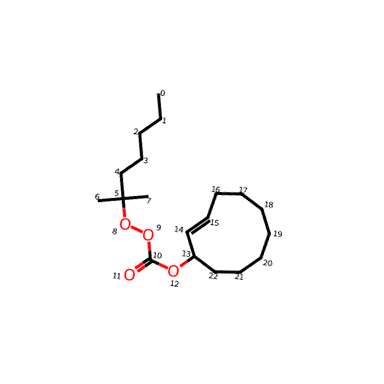 CCCCCC(C)(C)OOC(=O)OC1/C=C/CCCCCCC1